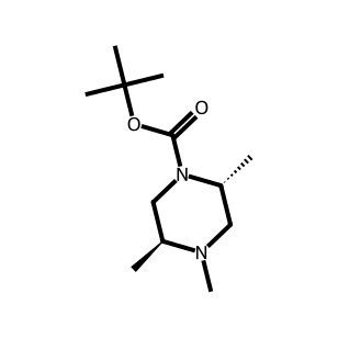 C[C@@H]1CN(C)[C@@H](C)CN1C(=O)OC(C)(C)C